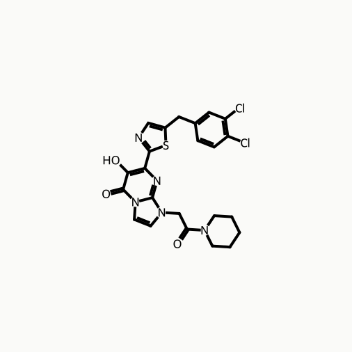 O=C(Cn1ccn2c(=O)c(O)c(-c3ncc(Cc4ccc(Cl)c(Cl)c4)s3)nc12)N1CCCCC1